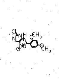 COc1ccc(CNc2nc(Cl)ncc2[N+](=O)[O-])c(OC)c1